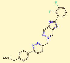 COCc1ccc(-c2ccc(Cn3cc4nc(-c5cccc(F)c5F)nc-4cn3)nn2)cc1